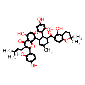 CC(C)=CCc1c(-c2ccc(O)cc2O)oc2c(C3C=C(C)CC(C(=O)c4ccc5c(c4O)CCC(C)(C)O5)C3c3ccc(O)cc3O)c(O)cc(O)c2c1=O